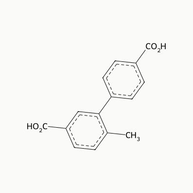 Cc1ccc(C(=O)O)cc1-c1ccc(C(=O)O)cc1